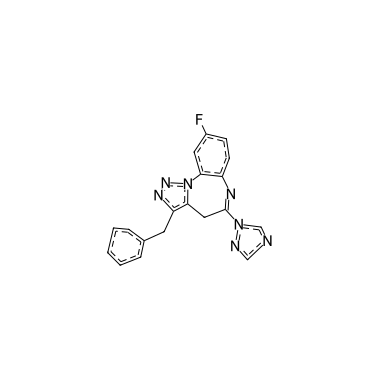 Fc1ccc2c(c1)-n1nnc(Cc3ccccc3)c1CC(n1cncn1)=N2